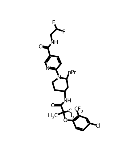 CCCC1CC(NC(=O)C(C)(C)Oc2ccc(Cl)cc2C(F)(F)F)CCN1c1ccc(C(=O)NCC(F)F)cn1